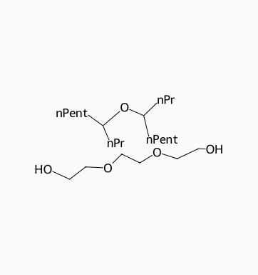 CCCCCC(CCC)OC(CCC)CCCCC.OCCOCCOCCO